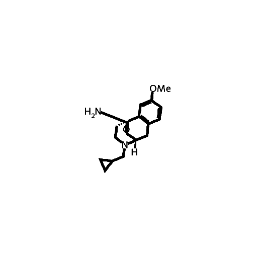 COc1ccc2c(c1)[C@@]13CCN(CC4CC4)[C@@H](C2)C1OCC(N)C3